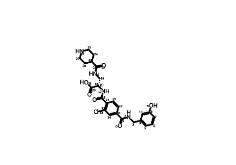 O=C(NCc1cccc(O)c1)c1ccc(C(=O)N[C@@H](CNC(=O)C2CCNCC2)C(=O)O)c(Cl)c1